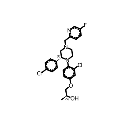 C[C@H](O)COc1ccc(N2CCN(Cc3ccc(F)cn3)C[C@H]2c2ccc(Cl)cc2)c(Cl)c1